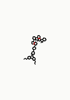 CCCc1ccc2c(c1)c1cc(CCC)ccc1n2-c1ccc(-c2ccc(-c3ccc(N(c4ccc5c(c4)C(C)(C)c4ccccc4-5)c4c(-c5ccccc5)cccc4-c4ccccc4)cc3)cc2)cc1